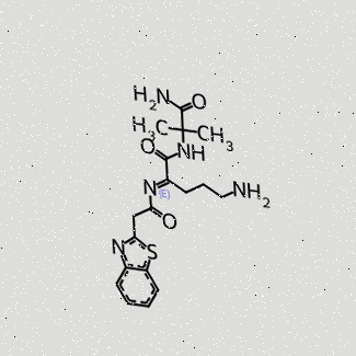 CC(C)(NC(=O)/C(CCCN)=N/C(=O)Cc1nc2ccccc2s1)C(N)=O